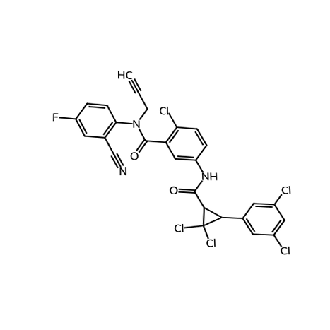 C#CCN(C(=O)c1cc(NC(=O)C2C(c3cc(Cl)cc(Cl)c3)C2(Cl)Cl)ccc1Cl)c1ccc(F)cc1C#N